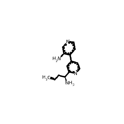 C=CC[C@H](N)c1cc(-c2ccncc2N)ccn1